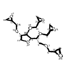 C(OC[C@@H](OCC1CO1)[C@H]1OC[C@H](OCC2CO2)[C@H]1OCC1CO1)C1CO1